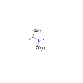 COC(C)N(C)C(=O)O